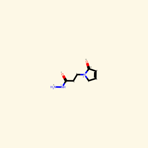 NNC(=O)CCN1CC=CC1=O